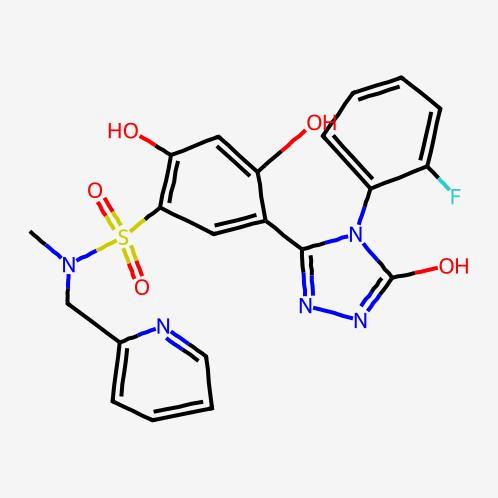 CN(Cc1ccccn1)S(=O)(=O)c1cc(-c2nnc(O)n2-c2ccccc2F)c(O)cc1O